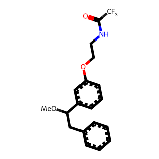 COC(Cc1ccccc1)c1cccc(OCCNC(=O)C(F)(F)F)c1